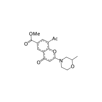 COC(=O)c1cc(C(C)=O)c2oc(N3CCOC(C)C3)cc(=O)c2c1